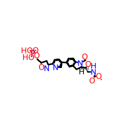 COC(=O)NC[C@@H]1OC(=O)N2c3ccc(-c4ccc(C5=NOC(COP(=O)(O)O)C5)nc4)cc3C[C@@H]12